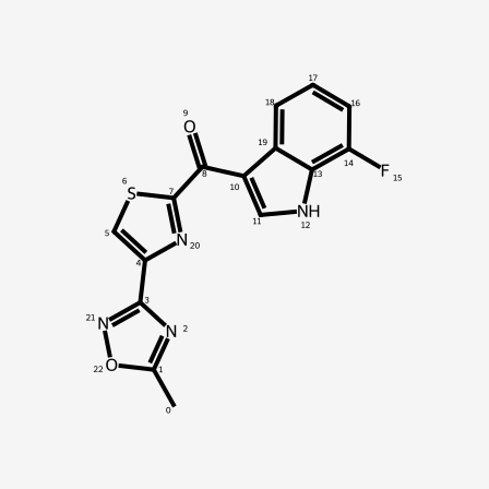 Cc1nc(-c2csc(C(=O)c3c[nH]c4c(F)cccc34)n2)no1